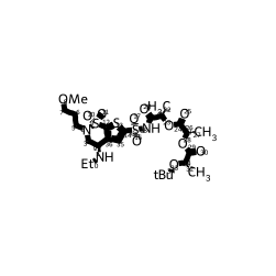 CCN[C@H]1CN(CCCOC)S(=O)(=O)c2sc(S(=O)(=O)NC(=O)[C@H](C)OC(=O)[C@H](C)OC(=O)[C@H](C)OC(C)(C)C)cc21